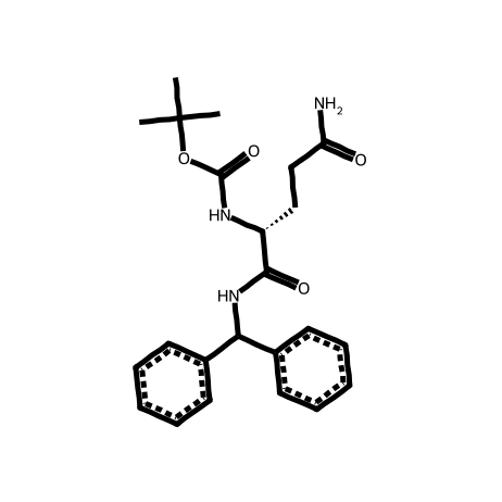 CC(C)(C)OC(=O)N[C@H](CCC(N)=O)C(=O)NC(c1ccccc1)c1ccccc1